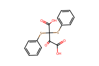 O=C(O)C(=O)C(Sc1ccccc1)(Sc1ccccc1)C(=O)O